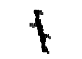 C=CC(=C)OCCCCOC(=O)Oc1ccc(C(=O)Oc2ccc(OC(=O)c3ccc(OC(=O)OCCCCOC(=O)C=C)c(C)c3)cc2)cc1C